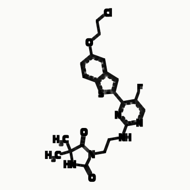 CC1(C)NC(=O)N(CCNc2ncc(F)c(-c3cc4cc(OCCCl)ccc4s3)n2)C1=O